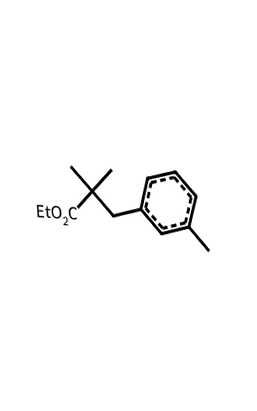 CCOC(=O)C(C)(C)Cc1cccc(C)c1